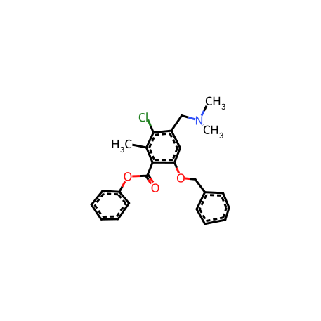 Cc1c(Cl)c(CN(C)C)cc(OCc2ccccc2)c1C(=O)Oc1ccccc1